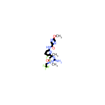 COc1cnc(C(=O)Nc2ccc(F)c([C@]3(C)C[S@@](=O)(=NCC(F)(F)F)N(C)C(N)=N3)n2)cn1